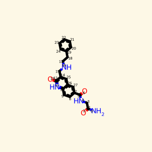 NC(=O)CNC(=O)c1ccc2[nH]c(=O)c(CNCCc3ccccc3)cc2c1